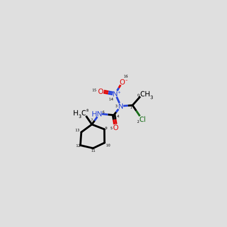 CC(Cl)N(C(=O)NC1(C)CCCCC1)[N+](=O)[O-]